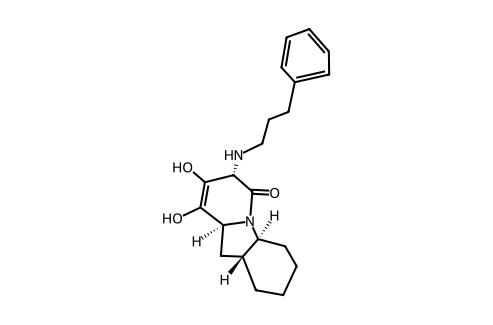 O=C1[C@@H](NCCCc2ccccc2)C(O)=C(O)[C@@H]2C[C@H]3CCCC[C@@H]3N12